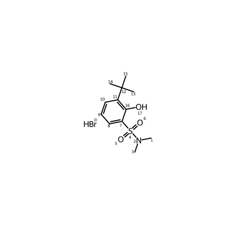 Br.CN(C)S(=O)(=O)c1cccc(C(C)(C)C)c1O